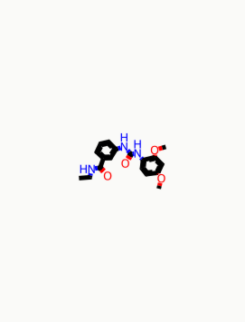 CCNC(=O)c1cccc(NC(=O)Nc2ccc(OC)cc2OC)c1